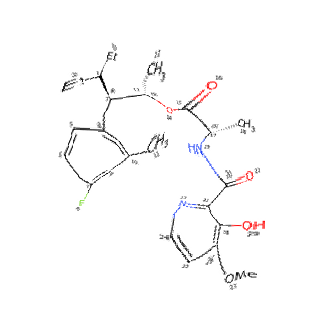 CCC(CC)[C@H](c1ccc(F)cc1C)[C@H](C)OC(=O)[C@H](C)NC(=O)c1nccc(OC)c1O